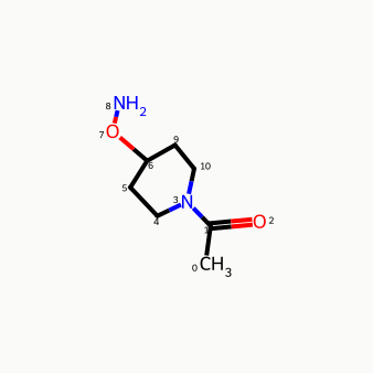 CC(=O)N1CCC(ON)CC1